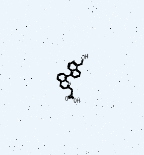 O=C(O)Cc1ccc2cccc(-c3cccc4c(CO)cccc34)c2n1